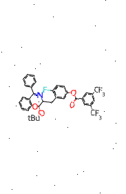 CC(C)(C)OC(=O)C(Cc1cc(OC(=O)c2cc(C(F)(F)F)cc(C(F)(F)F)c2)ccc1F)N=C(c1ccccc1)c1ccccc1